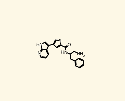 NCC(Cc1ccccc1)NC(=O)c1cc(-c2c[nH]c3ncccc23)cs1